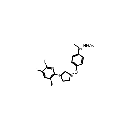 CC(=O)N[C@@H](C)c1ccc(O[C@@H]2CCN(c3nc(F)c(F)cc3F)C2)cc1